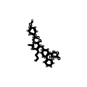 CCCCc1nc(C)n(CC(=O)c2ccc(OC)cc2)c(=O)c1Cc1ccc(-c2ccccc2)c(-c2noc(=O)[nH]2)c1